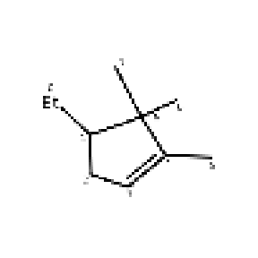 CCC1C[C]=C(C)C1(C)C